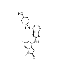 Cc1cc(Nc2nc3cccc(NC4CCC(O)CC4)n3n2)c2c(c1)N(C)C(=O)C2